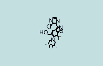 C[C@@H]1CN(c2c(CO)cc3c(-c4nccnc4Cl)noc3c2F)C[C@H](C)O1